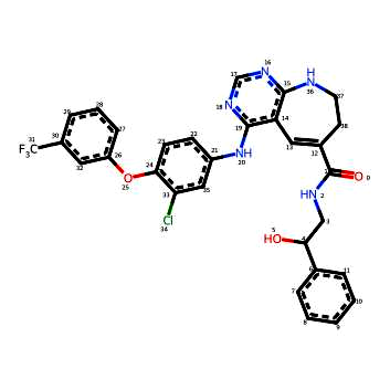 O=C(NCC(O)c1ccccc1)C1=Cc2c(ncnc2Nc2ccc(Oc3cccc(C(F)(F)F)c3)c(Cl)c2)NCC1